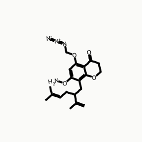 C=C(C)C(CC=C(C)C)Cc1c(ON)cc(OCN=[N+]=[N-])c2c1OCCC2=O